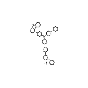 CC1(C)c2ccccc2-c2cc(-c3ccc(-c4ccc(N(c5ccc(-c6ccccc6)cc5)c5ccc(-c6cccc7oc8ccccc8c67)cc5)cc4)cc3)ccc21